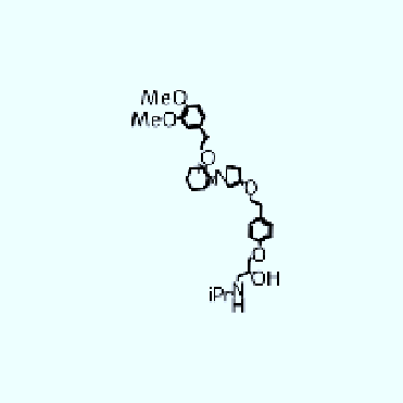 COc1ccc(CCO[C@H]2CCCC[C@@H]2N2CCC(OCCc3ccc(OCC(O)CNC(C)C)cc3)C2)cc1OC